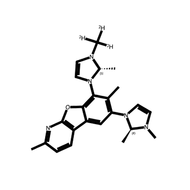 [2H]C([2H])([2H])N1C=CN(c2c(C)c(N3C=CN(C)[C@H]3C)cc3c2oc2nc(C)ccc23)[C@H]1C